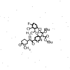 CC(Oc1cc(C(=O)NC2CCC(=O)N(C)C2)nnc1N(C(=O)OC(C)(C)C)C(=O)OC(C)(C)C)c1c(Cl)ccc(F)c1Cl